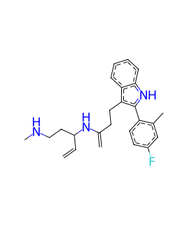 C=CC(CCNC)NC(=C)CCc1c(-c2ccc(F)cc2C)[nH]c2ccccc12